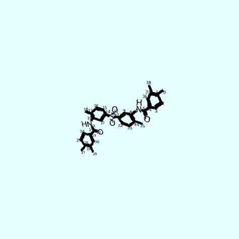 Cc1ccc(C(=O)Nc2cc(S(=O)(=O)c3ccc(C)c(NC(=O)c4ccc(C)c(C)c4)c3)ccc2C)cc1C